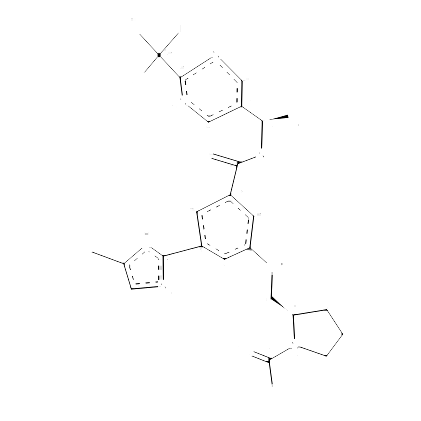 Cc1cnc(-c2cc(OC[C@H]3CCCN3C(=O)O)cc(C(=O)N[C@H](C)c3cnc(C(F)(F)F)nc3)c2)s1